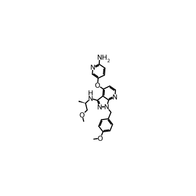 COC[C@@H](C)Nc1nn(Cc2ccc(OC)cc2)c2nccc(Oc3ccc(N)nc3)c12